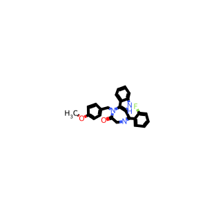 COc1ccc(CN2C(=O)CN=C(c3ccccc3F)c3[nH]c4ccccc4c32)cc1